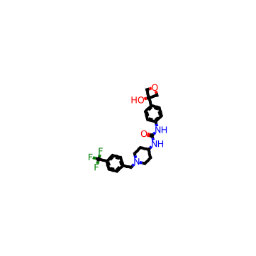 O=C(Nc1ccc(C2(O)COC2)cc1)NC1CCN(Cc2ccc(C(F)(F)F)cc2)CC1